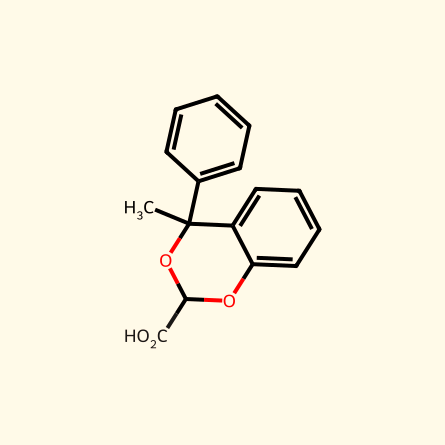 CC1(c2ccccc2)OC(C(=O)O)Oc2ccccc21